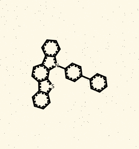 c1ccc(-c2ccc(-n3c4ccccc4c4ccc5c6ccccc6sc5c43)cc2)cc1